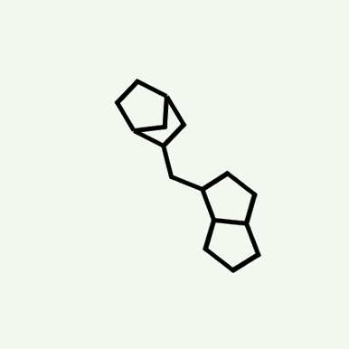 C1CC2CCC(CC3CC4CCC3C4)C2C1